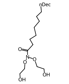 CCCCCCCCCCCCCCCCCC(=O)N(OCCO)OCCO